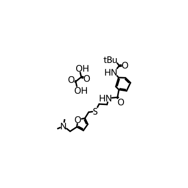 CN(C)Cc1ccc(CSCCNC(=O)c2cccc(NC(=O)C(C)(C)C)c2)o1.O=C(O)C(=O)O